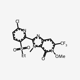 CCS(=O)(=O)c1ccc(Cl)nc1-c1nc2cc(C(F)(F)F)n(OC)c(=O)c2n1C